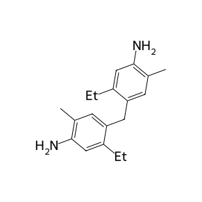 CCc1cc(N)c(C)cc1Cc1cc(C)c(N)cc1CC